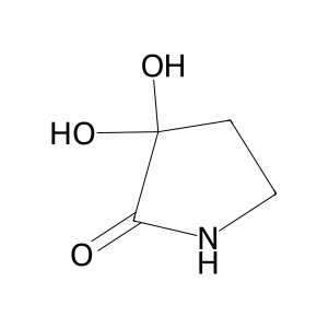 O=C1NCCC1(O)O